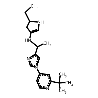 CCC1CC(NC(C)c2cn(-c3ccnc(C(C)(C)C)c3)cn2)=CN1